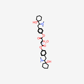 CN(C)C(Cc1ccc(OC(=O)/C=C/C(=O)Oc2ccc(CC(N(C)C)C3(O)CCCCC3)cc2)cc1)C1(O)CCCCC1.O